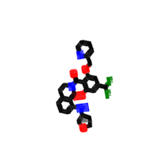 O=C(c1c(O)cc(C(F)F)cc1OCc1ccccn1)N1CCc2cccc(N[C@H]3CCOC3)c2C1